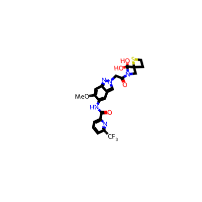 COc1cc2nn(CC(=O)N3CC4(CCS4)C3(O)O)cc2cc1NC(=O)c1cccc(C(F)(F)F)n1